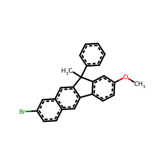 COc1ccc2c(c1)C(C)(c1ccccc1)c1cc3cc(Br)ccc3cc1-2